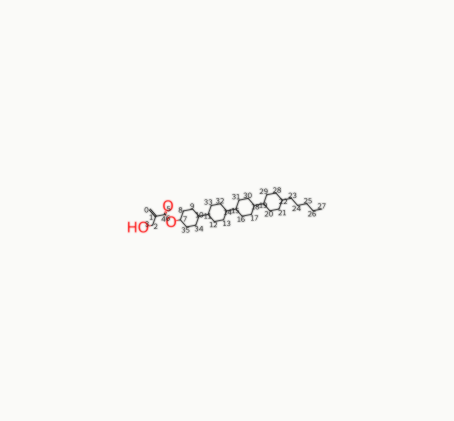 C=C(CO)C(=O)OC1CCC(C2CCC(C3CCC(C4CCC(CCCCC)CC4)CC3)CC2)CC1